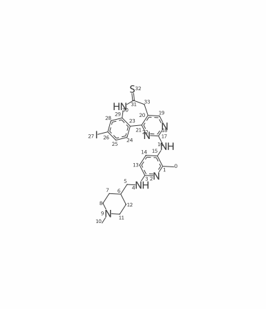 Cc1nc(NCC2CCN(C)CC2)ccc1Nc1ncc2c(n1)-c1ccc(I)cc1NC(=S)C2